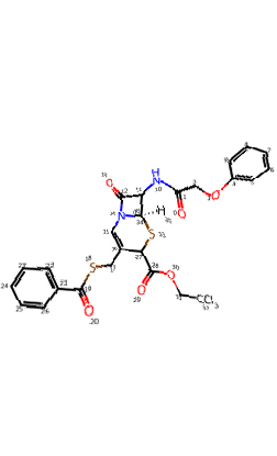 O=C(COc1ccccc1)NC1C(=O)N2C=C(CSC(=O)c3ccccc3)C(C(=O)OCC(Cl)(Cl)Cl)S[C@H]12